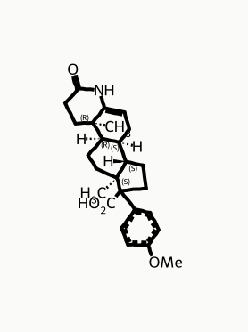 COc1ccc(C2(C(=O)O)CC[C@H]3[C@@H]4CC=C5NC(=O)CC[C@]5(C)[C@@H]4CC[C@@]32C)cc1